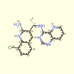 C[C@H](Nc1ncnc2cccnc12)c1cc2cccc(Cl)c2nc1N